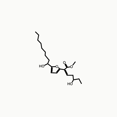 CCCCCCCCC(O)c1ccc(C(=CCC(O)CC)C(=O)OC)o1